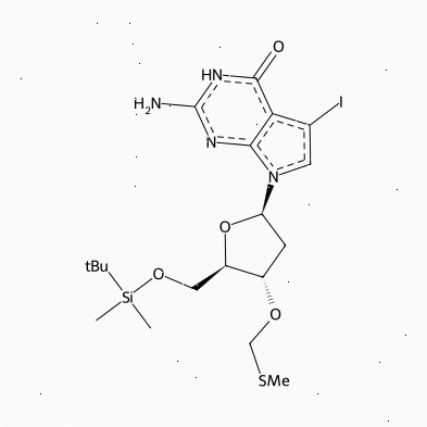 CSCO[C@H]1C[C@H](n2cc(I)c3c(=O)[nH]c(N)nc32)O[C@@H]1CO[Si](C)(C)C(C)(C)C